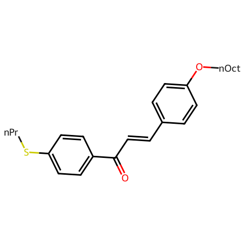 CCCCCCCCOc1ccc(C=CC(=O)c2ccc(SCCC)cc2)cc1